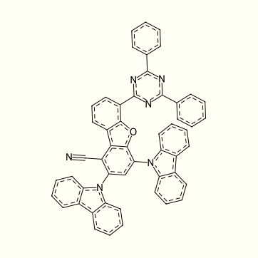 N#Cc1c(-n2c3ccccc3c3ccccc32)cc(-n2c3ccccc3c3ccccc32)c2oc3c(-c4nc(-c5ccccc5)nc(-c5ccccc5)n4)cccc3c12